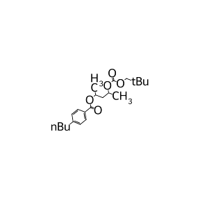 CCCCc1ccc(C(=O)OC(C)CC(C)OC(=O)OCC(C)(C)C)cc1